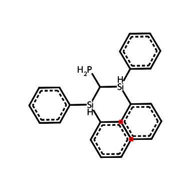 PC([SiH](c1ccccc1)c1ccccc1)[SiH](c1ccccc1)c1ccccc1